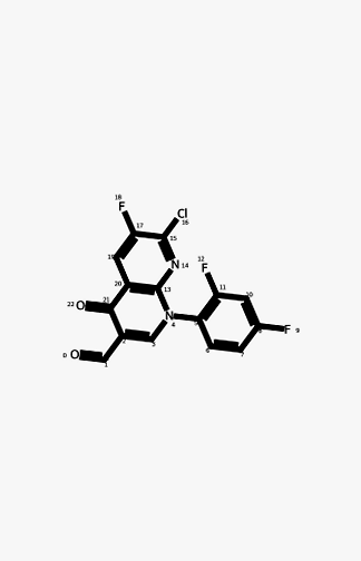 O=[C]c1cn(-c2ccc(F)cc2F)c2nc(Cl)c(F)cc2c1=O